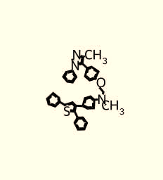 Cc1ncn(-c2ccccc2)c1-c1ccc(OCCN(C)c2ccc(-c3cc(-c4ccccc4)sc3-c3ccccc3)cc2)cc1